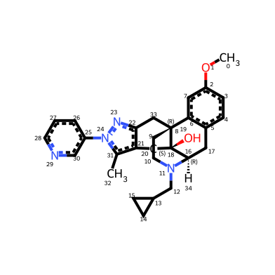 COc1ccc2c(c1)[C@]13CCN(CC4CC4)[C@H](C2)[C@]1(O)Cc1c(nn(-c2cccnc2)c1C)C3